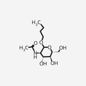 CCCCOC1O[C@H](CO)[C@@H](O)[C@H](O)[C@H]1NC(C)=O